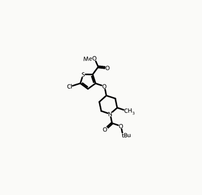 COC(=O)c1sc(Cl)cc1OC1CCN(C(=O)OC(C)(C)C)C(C)C1